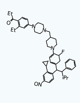 CCC(=O)c1ccc(N2CCN(CC3CCN(C4=CC=C(C(c5ccc(N=O)cc5C5CC5)C(c5ccccc5)C(C)C)CC4F)CC3)CC2)cc1CC